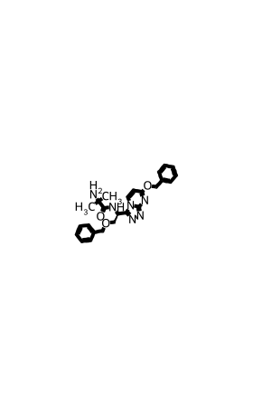 CC(C)(N)C(=O)N[C@H](COCc1ccccc1)c1nnc2nc(OCc3ccccc3)ccn12